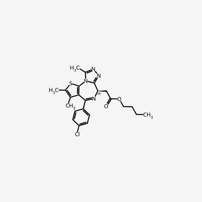 CCCCOC(=O)C[C@H]1N=C(c2ccc(Cl)cc2)c2c(sc(C)c2C)-n2c(C)nnc21